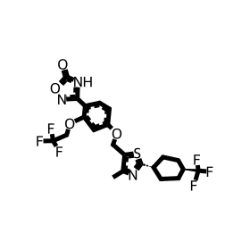 Cc1nc([C@H]2CC[C@H](C(F)(F)F)CC2)sc1COc1ccc(-c2noc(=O)[nH]2)c(OCC(F)(F)F)c1